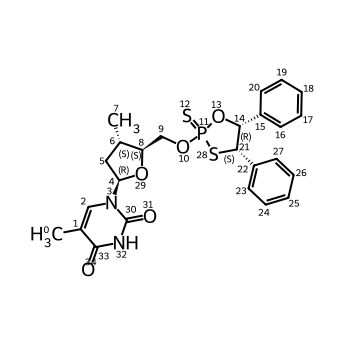 Cc1cn([C@H]2C[C@H](C)[C@@H](COP3(=S)O[C@H](c4ccccc4)[C@H](c4ccccc4)S3)O2)c(=O)[nH]c1=O